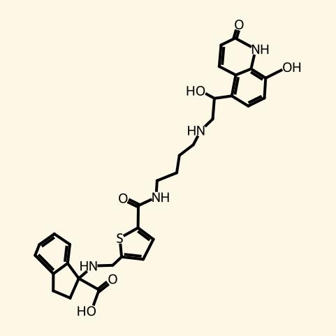 O=C(NCCCCNCC(O)c1ccc(O)c2[nH]c(=O)ccc12)c1ccc(CNC2(C(=O)O)CCc3ccccc32)s1